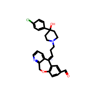 O=Cc1ccc2c(c1)/C(=C/CCN1CCC(O)(c3ccc(Cl)cc3)CC1)c1cccnc1CO2